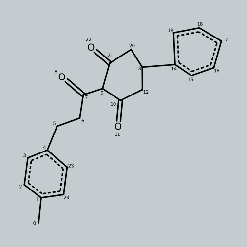 Cc1ccc(CCC(=O)C2C(=O)CC(c3ccccc3)CC2=O)cc1